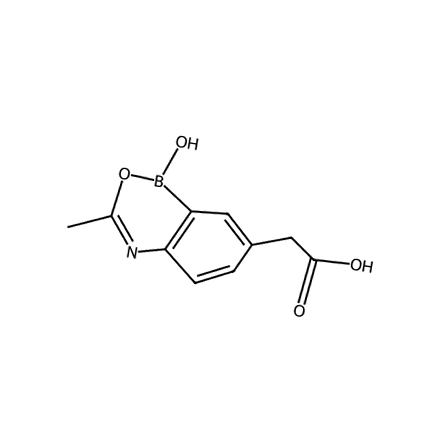 CC1=Nc2ccc(CC(=O)O)cc2B(O)O1